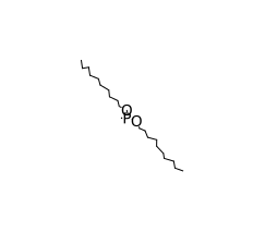 CCCCCCCCCCO[P]OCCCCCCCCCC